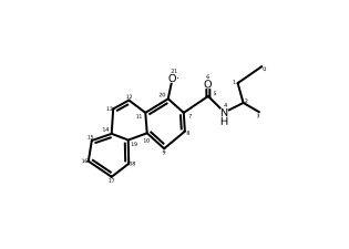 CCC(C)NC(=O)c1ccc2c(ccc3ccccc32)c1[O]